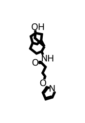 O=C(CCCOc1ccccn1)NC1CCC2CC3CC(O)(C2)CC31